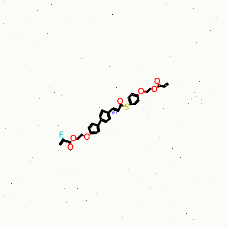 C=CC(=O)OCCOc1ccc(SC(=O)/C=C/c2ccc(-c3ccc(OCCOC(=O)C(=C)F)cc3)cc2)cc1